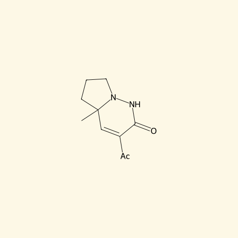 CC(=O)C1=CC2(C)CCCN2NC1=O